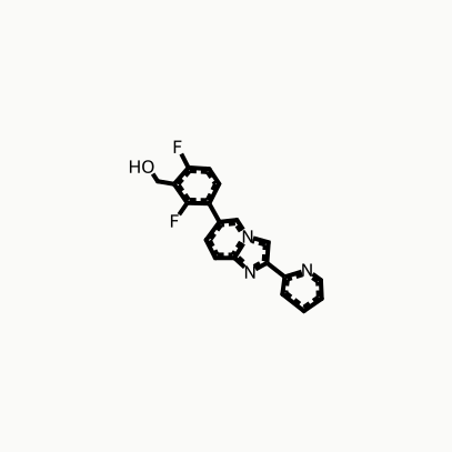 OCc1c(F)ccc(-c2ccc3nc(-c4ccccn4)cn3c2)c1F